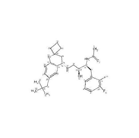 CC(=O)N[C@@H](Cc1cccc(F)c1F)[C@@H](O)CN[C@H]1CC2(CCC2)Oc2ncc(CC(C)(C)C)cc21